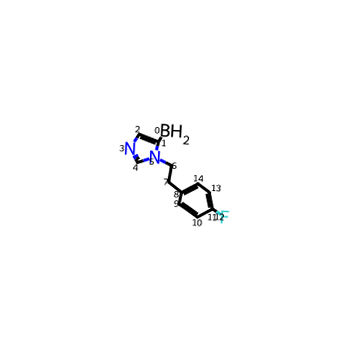 Bc1cncn1CCc1ccc(F)cc1